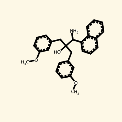 COc1cccc(CC(O)(Cc2cccc(OC)c2)C(N)c2cccc3ccccc23)c1